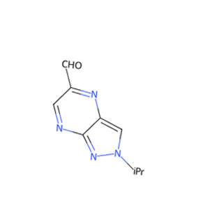 CC(C)n1cc2nc(C=O)cnc2n1